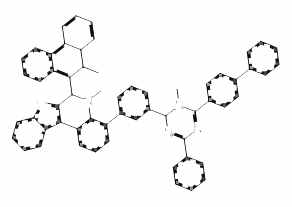 CC1C(C2c3oc4ccccc4c3-c3cccc(-c4cccc(C5N=C(c6ccccc6)N=C(c6ccc(-c7ccccc7)cc6)N5C)c4)c3N2C)=c2ccccc2=C2C=CC=CC21